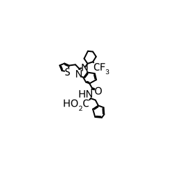 O=C(NC(Cc1ccccc1)C(=O)O)c1ccc2c(c1)nc(Cc1cccs1)n2C1CCCCC1C(F)(F)F